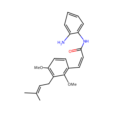 COc1ccc(/C=C\C(=O)Nc2ccccc2N)c(OC)c1CC=C(C)C